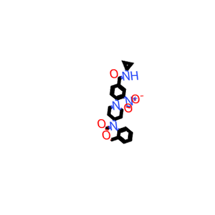 O=C(NC1CC1)c1ccc(N2CCC(N3C(=O)OCc4ccccc43)CC2)c([N+](=O)[O-])c1